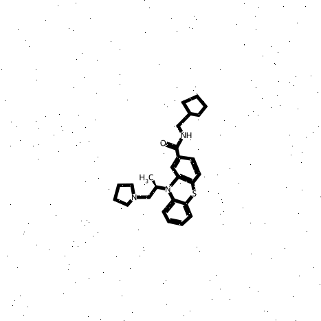 C[C@H](CN1CCCC1)N1c2ccccc2Sc2ccc(C(=O)NCC3CCCC3)cc21